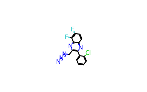 [N-]=[N+]=NCc1nc2c(F)c(F)ccc2nc1-c1ccccc1Cl